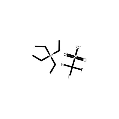 CC[N+](CC)(CC)CC.O=S(=O)([O-])C(F)(F)F